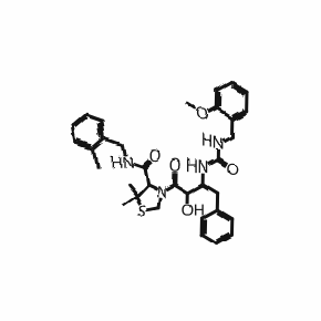 COc1ccccc1CNC(=O)NC(Cc1ccccc1)C(O)C(=O)N1CSC(C)(C)C1C(=O)NCc1ccccc1C